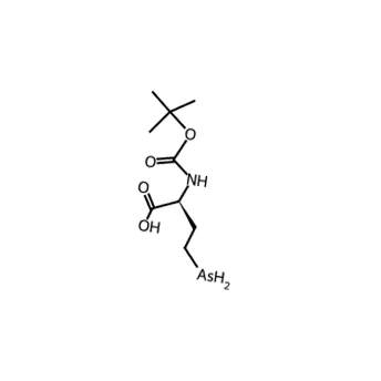 CC(C)(C)OC(=O)N[C@@H](CC[AsH2])C(=O)O